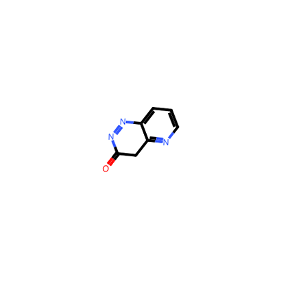 O=C1Cc2ncccc2N=N1